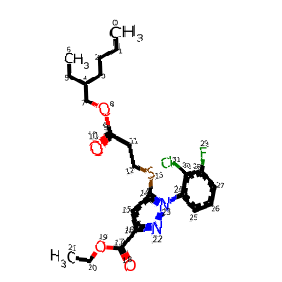 CCCCC(CC)COC(=O)CCSc1cc(C(=O)OCC)nn1-c1cccc(F)c1Cl